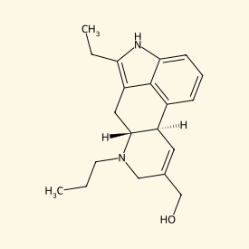 CCCN1CC(CO)=C[C@@H]2c3cccc4[nH]c(CC)c(c34)C[C@H]21